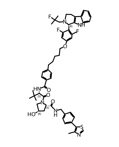 Cc1ncsc1-c1ccc(CNC(=O)[C@@H]2C[C@@H](O)CN2C(=O)[C@@H](NC(=O)c2ccc(CCCCCOc3cc(F)c([C@@H]4c5[nH]c6ccccc6c5CCN4CC(C)(C)F)c(F)c3)cc2)C(C)(C)C)cc1